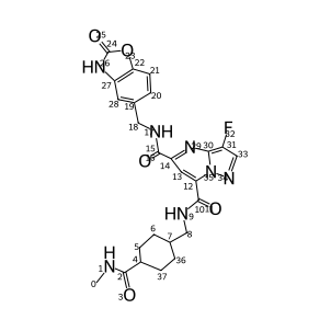 CNC(=O)C1CCC(CNC(=O)c2cc(C(=O)NCc3ccc4oc(=O)[nH]c4c3)nc3c(F)cnn23)CC1